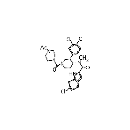 CC(=O)N1CCC(C(=O)N2CC[C@@H](N(C)C(=O)c3cc4ccc(Cl)cc4[nH]3)[C@H](c3ccc(Cl)c(Cl)c3)C2)CC1